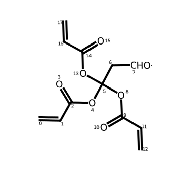 C=CC(=O)OC(C[C]=O)(OC(=O)C=C)OC(=O)C=C